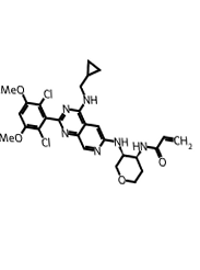 C=CC(=O)N[C@H]1CCOC[C@H]1Nc1cc2c(NCC3CC3)nc(-c3c(Cl)c(OC)cc(OC)c3Cl)nc2cn1